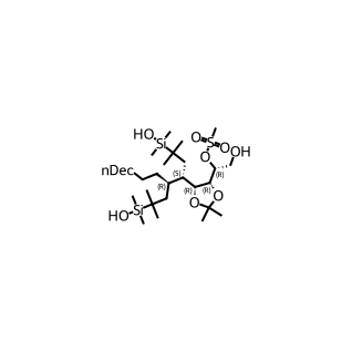 CCCCCCCCCCCC[C@H](CC(C)(C)[Si](C)(C)O)[C@H](CC(C)(C)[Si](C)(C)O)[C@H]1OC(C)(C)O[C@H]1[C@@H](CO)OS(C)(=O)=O